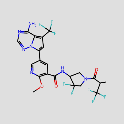 COc1ncc(-c2cc(C(F)(F)F)c3c(N)ncnn23)cc1C(=O)NC1CN(C(=O)C(C)C(F)(F)F)CC1(F)F